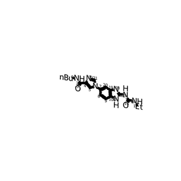 CCCCNC(=O)c1cn(-c2ccc3[nH]c(NC(=O)NCC)nc3c2)cn1